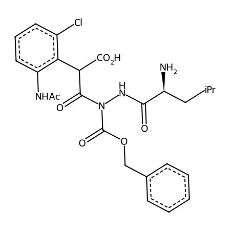 CC(=O)Nc1cccc(Cl)c1C(C(=O)O)C(=O)N(NC(=O)[C@@H](N)CC(C)C)C(=O)OCc1ccccc1